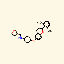 Cc1cccc(C)c1C1CCc2cc(OC3CCC(NCC4CCOC4)CC3)ccc2O1